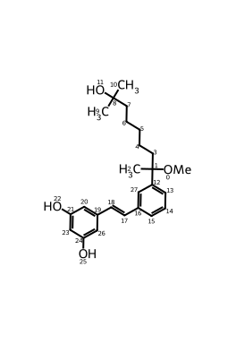 COC(C)(CCCCCC(C)(C)O)c1cccc(C=Cc2cc(O)cc(O)c2)c1